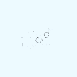 CC(=O)OC[C@@H]1O[C@@H](Oc2ccc(N=C=O)cc2F)[C@H](CC(=O)O)[C@@H](CC(=O)O)[C@H]1CC(=O)O